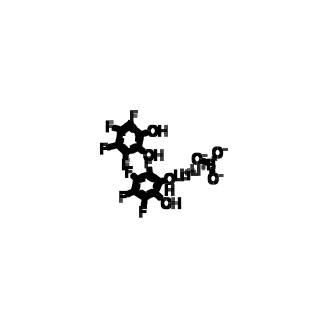 Oc1c(O)c(F)c(F)c(F)c1F.Oc1c(O)c(F)c(F)c(F)c1F.[Li+].[Li+].[Li+].[O-]B([O-])[O-]